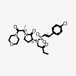 CCC(=O)CN([C@H]1CCN([C@@H](C)C(=O)N2CCOCC2)C1=O)S(=O)(=O)/C=C/c1ccc(Cl)cc1